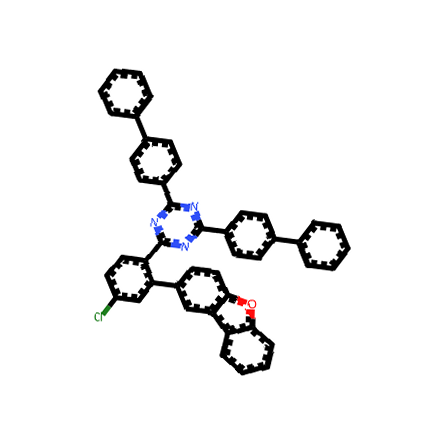 Clc1ccc(-c2nc(-c3ccc(-c4ccccc4)cc3)nc(-c3ccc(-c4ccccc4)cc3)n2)c(-c2ccc3oc4ccccc4c3c2)c1